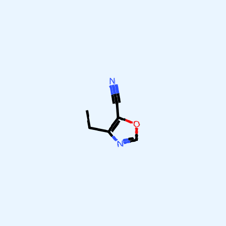 CCc1ncoc1C#N